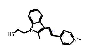 Cc1c(/C=C/c2cc[n+](C)cc2)c2ccccc2n1CCS